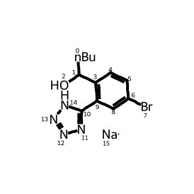 CCCCC(O)c1ccc(Br)cc1-c1nnn[nH]1.[Na]